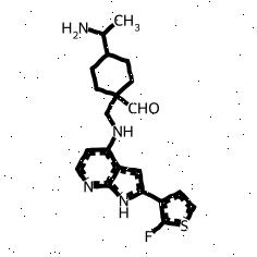 CC(N)C1CCC(C=O)(CNc2ccnc3[nH]c(-c4ccsc4F)cc23)CC1